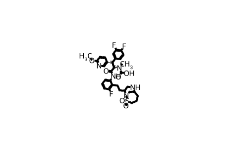 COc1ccc([C@H](c2ccc(F)c(F)c2)[C@@H](C(=O)Nc2cccc(F)c2CCC2CNC3CCCS(=O)(=O)N2C3)N(C)C(=O)O)cn1